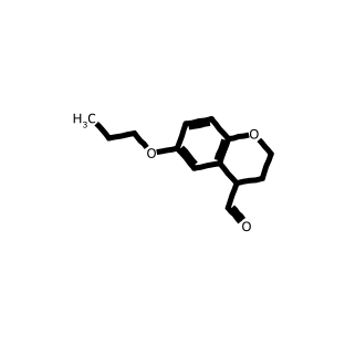 CCCOc1ccc2c(c1)C(C=O)CCO2